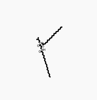 CCCCCCCCCCCCCCCCCC(=O)NCC(OC(=O)CCCCCCCCCCCCCCCCC)C(=O)OCCC(C)C